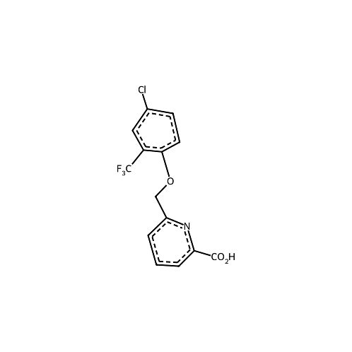 O=C(O)c1cccc(COc2ccc(Cl)cc2C(F)(F)F)n1